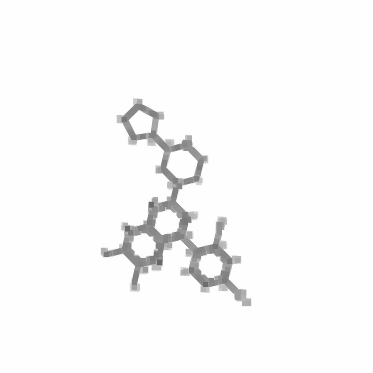 Cc1nc2nc(N3CCOC(C4CCCC4)C3)nc(-c3ccc(Cl)cc3F)c2nc1C